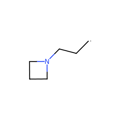 [CH2]CCN1CCC1